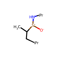 CC(C)CC(C)[S+]([O-])NC(C)C